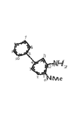 CNc1ccc(-c2ccccc2)cc1N